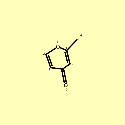 O=c1ccoc(I)c1